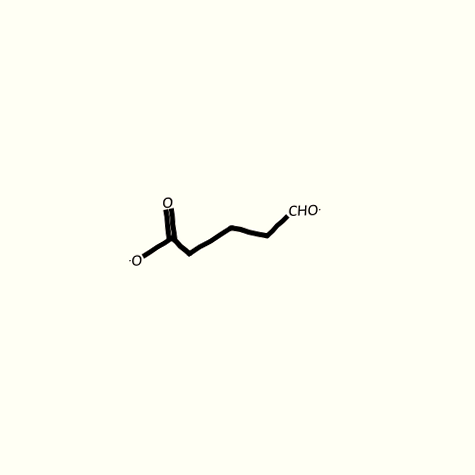 [O]C(=O)CCC[C]=O